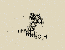 CCCc1nc2nc(C(=O)O)ccc2n1Cc1ccc(-c2ccccc2-c2nnn[nH]2)cc1